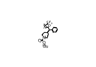 CC(C)(C)OC(=O)N1CCC(=C(c2ccccc2)c2nnc(C(F)(F)F)o2)CC1